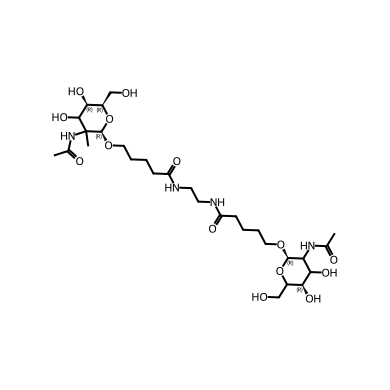 CC(=O)NC1C(O)[C@@H](O)C(CO)O[C@H]1OCCCCC(=O)NCCNC(=O)CCCCO[C@@H]1O[C@H](CO)[C@H](O)C(O)C1(C)NC(C)=O